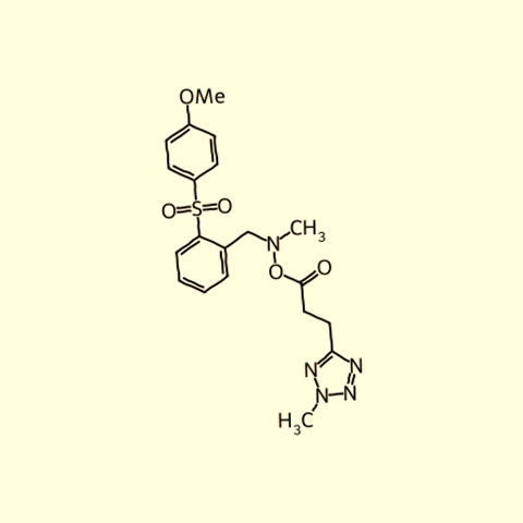 COc1ccc(S(=O)(=O)c2ccccc2CN(C)OC(=O)CCc2nnn(C)n2)cc1